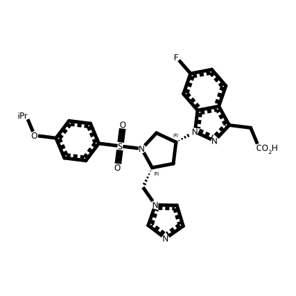 CC(C)Oc1ccc(S(=O)(=O)N2C[C@H](n3nc(CC(=O)O)c4ccc(F)cc43)C[C@@H]2Cn2ccnc2)cc1